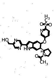 CC(=O)N1CCC[C@@H]1C1C=c2[nH]c(-c3cnc(CO)cn3)cc2=CC1Oc1ccc(S(C)(=O)=O)nc1